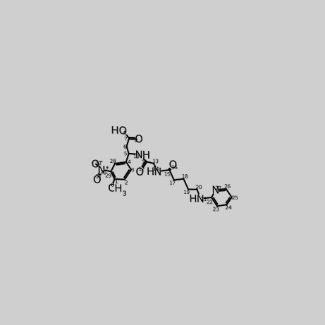 Cc1ccc(C(CC(=O)O)NC(=O)CNC(=O)CCCCNc2ccccn2)cc1[N+](=O)[O-]